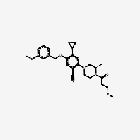 COCCC(=O)N1CCN(c2nc(C3CC3)c(OCc3cccc(OC)c3)cc2C#N)C[C@H]1C